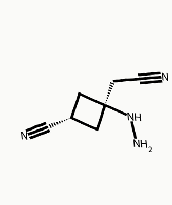 N#CC[C@]1(NN)C[C@H](C#N)C1